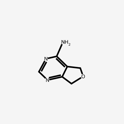 Nc1ncnc2c1COC2